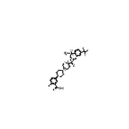 C[C@]1(C(=O)N2Cc3cc(C(F)(F)F)ccc3[C@@](N)(O)C2)CC[C@@H](N2CCC(c3ccc(F)c(C(=O)O)c3)CC2)CO1